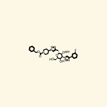 CO[C@@H]1[C@@H](n2cc(-c3cccc(F)c3)nn2)[C@@H](O)[C@@H](CO)O[C@@H]1Cc1cn(C2CCN(C(=O)OCc3ccccc3)CC2)nn1